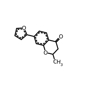 CC1CC(=O)c2ccc(-c3ccco3)cc2O1